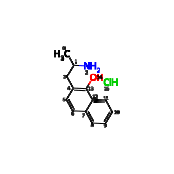 CC(N)Cc1ccc2ccccc2c1O.Cl